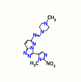 CN1CCN(C=Nc2ccc3nnc(-c4cnc([N+](=O)[O-])n4C)n3n2)CC1